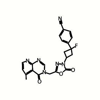 Cc1ccnc2ncn(Cc3nn(C4CC(F)(c5ccc(C#N)cc5)C4)c(=O)o3)c(=O)c12